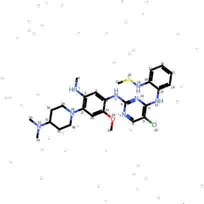 CNc1cc(Nc2ncc(Cl)c(Nc3ccccc3NSC)n2)c(OC)cc1N1CCC(N(C)C)CC1